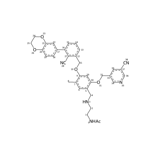 CC(=O)NCCNCc1cc(C)c(OCc2cccc(-c3ccc4c(c3)OCCO4)c2C#N)cc1OCc1cncc(C#N)c1